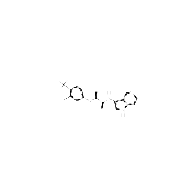 O=C(Nc1ccc(C(F)(F)F)c(Cl)c1)C(=O)Nc1c[nH]c2ccncc12